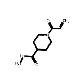 C=CC(=O)N1CCC(C(=O)NC(C)(C)C)CC1